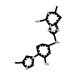 CCCc1nc(C)cc2nc(Nc3ccc(-n4cnc(C)c4)c(C#N)c3)nn12